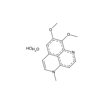 COc1cc2c3c(ccnc3c1OC)N(C)C=C2.Cl.O